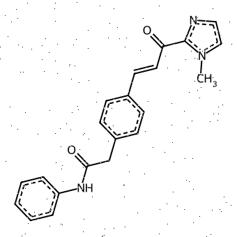 Cn1ccnc1C(=O)/C=C/c1ccc(CC(=O)Nc2ccccc2)cc1